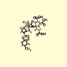 Cc1ccc(OC(=O)c2ccc(CC(C)(C)C(=O)NC(CCC(=O)O)(CCC(=O)O)CCC(=O)O)s2)c(F)c1